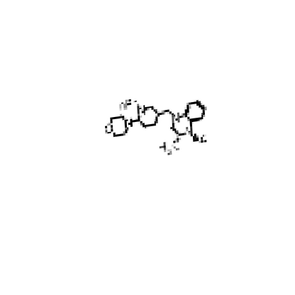 CCCN1CC(CN2C[C@H](C)N(C(C)=O)c3ccccc32)CCC1N1CCOCC1